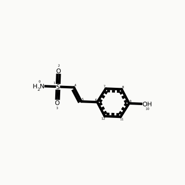 NS(=O)(=O)/C=C/c1ccc(O)cc1